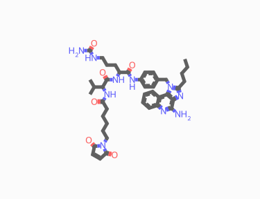 CCCCc1nc2c(N)nc3ccccc3c2n1Cc1ccc(NC(=O)C(CCCNC(N)=O)NC(=O)C(NC(=O)CCCCCN2C(=O)C=CC2=O)C(C)C)cc1